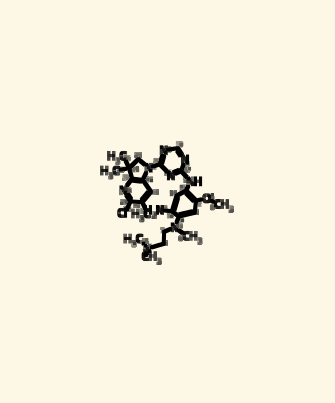 COc1cc(N(C)CCN(C)C)c(N)cc1Nc1ncnc(N2CC(C)(C)c3nc(Cl)c(C)cc32)n1